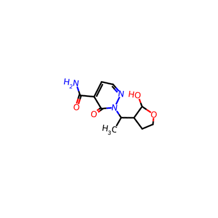 CC(C1CCOC1O)n1nccc(C(N)=O)c1=O